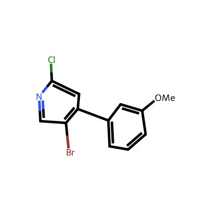 COc1cccc(-c2cc(Cl)ncc2Br)c1